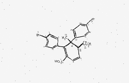 CC(C)c1ccc(C2=C(C(=O)O)C=CC(C(=O)O)C2(C)c2ccc(C(C)C)cc2)cc1